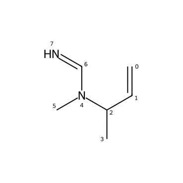 C=CC(C)N(C)C=N